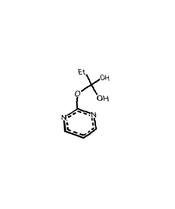 CCC(O)(O)Oc1ncccn1